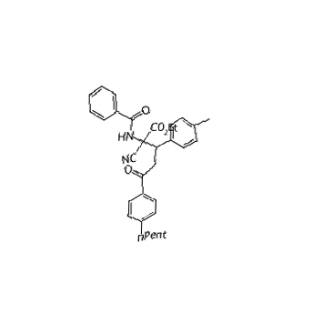 CCCCCc1ccc(C(=O)CC(c2ccc(C)cc2)C(C#N)(NC(=O)c2ccccc2)C(=O)OCC)cc1